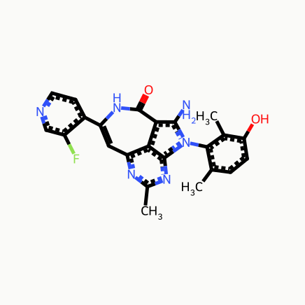 Cc1nc2c3c(c(N)n(-c4c(C)ccc(O)c4C)c3n1)C(=O)NC(c1ccncc1F)=C2